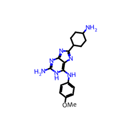 COc1ccc(Nc2[nH]c(N)nc3nc(C4CCC(N)CC4)nc2-3)cc1